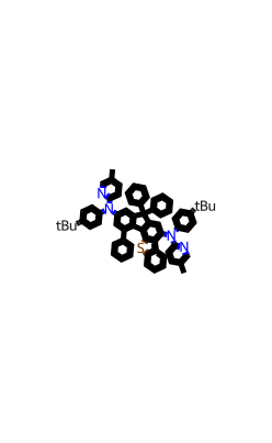 Cc1ccc(N(c2ccc(C(C)(C)C)cc2)c2cc(-c3ccccc3)c3c(c2)C(c2ccccc2)(c2ccccc2)c2cc(N(c4ccc(C(C)(C)C)cc4)c4ccc(C)cn4)c4c(sc5ccccc54)c2-3)nc1